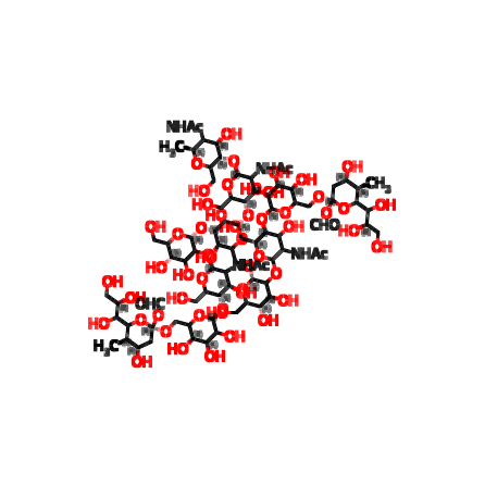 CC(=O)NC1C(OC2[C@@H](OCC3O[C@@H](O[C@@H]4C(CO)O[C@@H](O[C@@H]5C(CO)O[C@@H](C)C(NC(C)=O)[C@H]5O)C(NC(C)=O)[C@H]4O)C(O)[C@@H](O[C@H]4OC(CO)[C@@H](O)C(O)C4O[C@@H]4OC(CO)[C@@H](O[C@@H]5OC(CO[C@]6(OC=O)C[C@@H](O)[C@@H](C)C(C(O)[C@H](O)CO)O6)[C@H](O)[C@H](O)C5O)[C@H](O)C4NC(C)=O)[C@@H]3O)OC(CO)[C@@H](O)[C@@H]2O)O[C@@H](CO)[C@@H](O[C@@H]2OC(CO[C@]3(OC=O)C[C@@H](O)[C@@H](C)C(C(O)[C@H](O)CO)O3)[C@H](O)[C@H](O)C2O)C1O